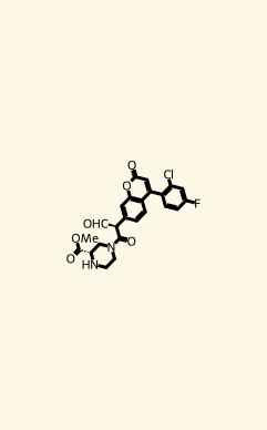 COC(=O)[C@@H]1CN(C(=O)[C@@H](C=O)c2ccc3c(-c4ccc(F)cc4Cl)cc(=O)oc3c2)CCN1